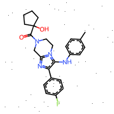 Cc1ccc(Nc2c(-c3ccc(F)cc3)nc3n2CCN(C(=O)C2(O)CCCC2)C3)cc1